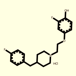 Cl.Oc1ccc(OCCN2CCC(Cc3ccc(F)cc3)CC2)cc1F